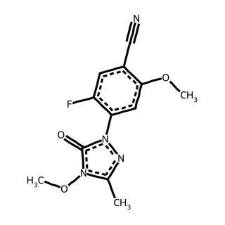 COc1cc(-n2nc(C)n(OC)c2=O)c(F)cc1C#N